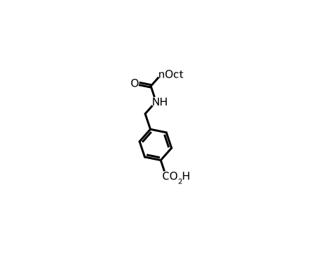 CCCCCCCCC(=O)NCc1ccc(C(=O)O)cc1